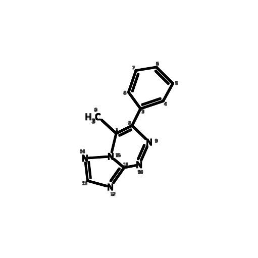 Cc1c(-c2ccccc2)nnc2ncnn12